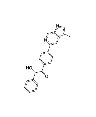 O=C(c1ccc(-c2cn3c(I)cnc3cn2)cc1)C(O)c1ccccc1